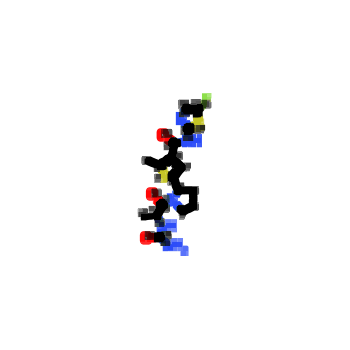 Cc1sc(C2CCCN2C(=O)[C@H](C)NC(N)=O)cc1C(=O)Nc1ncc(F)s1